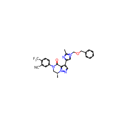 Cc1nc(-c2cnn3c2C(=O)N(c2ccc(C(F)(F)F)c(C#N)c2)C[C@@H]3C)cn1COCc1ccccc1